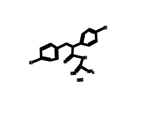 Cl.N=C(N)NC(=O)C(Cc1ccc(Cl)cc1)c1ccc(Cl)cc1